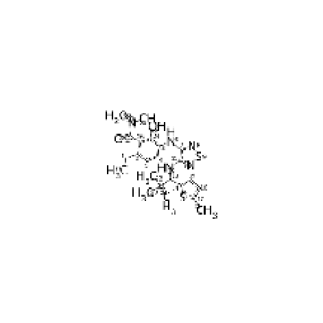 CCc1ccc(Nc2nsnc2N[C@@H](c2ccc(C)s2)C(C)(C)C)c(O)c1C(=O)N(C)C